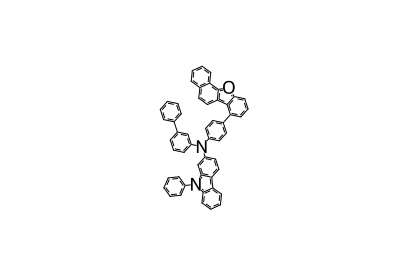 c1ccc(-c2cccc(N(c3ccc(-c4cccc5oc6c7ccccc7ccc6c45)cc3)c3ccc4c5ccccc5n(-c5ccccc5)c4c3)c2)cc1